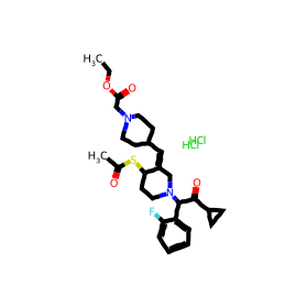 CCOC(=O)CN1CCC(/C=C2/CN(C(C(=O)C3CC3)c3ccccc3F)CCC2SC(C)=O)CC1.Cl.Cl